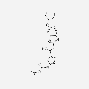 CCC(CF)Oc1ccc2nc(CC(O)c3cnc(NC(=O)OC(C)(C)C)s3)oc2c1